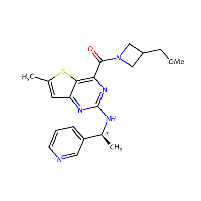 COCC1CN(C(=O)c2nc(N[C@@H](C)c3cccnc3)nc3cc(C)sc23)C1